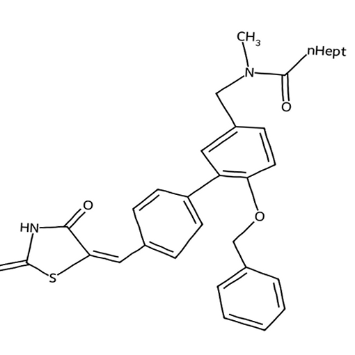 CCCCCCCC(=O)N(C)Cc1ccc(OCc2ccccc2)c(-c2ccc(C=C3SC(=O)NC3=O)cc2)c1